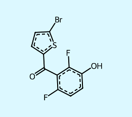 O=C(c1ccc(Br)s1)c1c(F)ccc(O)c1F